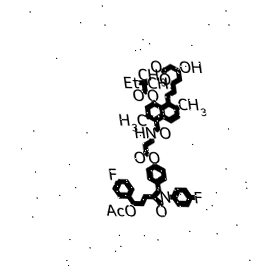 CCC(C)(C)C(=O)OC1CC(C)C(C(=O)NCCC(=O)Oc2ccc(C3C(CCC(OC(C)=O)c4ccc(F)cc4)C(=O)N3c3ccc(F)cc3)cc2)=C2C=CC(C)C(CCC3CC(O)CC(=O)O3)C21